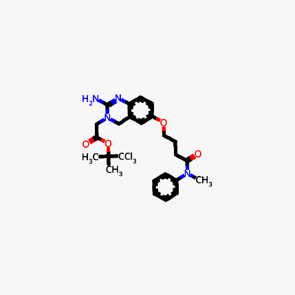 CN(C(=O)CCCOc1ccc2c(c1)CN(CC(=O)OC(C)(C)C(Cl)(Cl)Cl)C(N)=N2)c1ccccc1